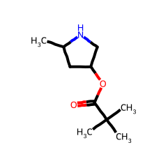 CC1CC(OC(=O)C(C)(C)C)CN1